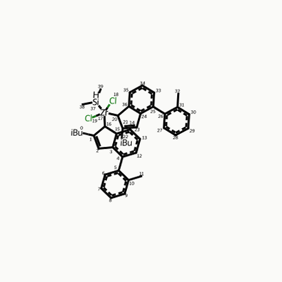 CCC(C)C1=Cc2c(-c3ccccc3C)cccc2[CH]1[Zr]([Cl])([Cl])([CH]1C(C(C)CC)=Cc2c(-c3ccccc3C)cccc21)[SiH](C)C